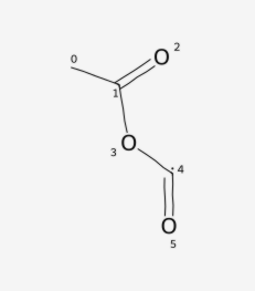 CC(=O)O[C]=O